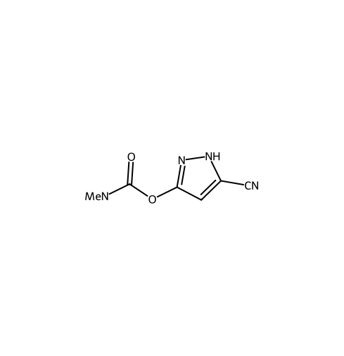 CNC(=O)Oc1cc(C#N)[nH]n1